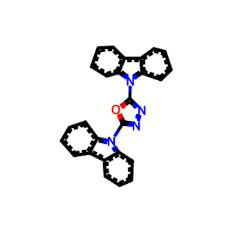 c1ccc2c(c1)c1ccccc1n2-c1nnc(-n2c3ccccc3c3ccccc32)o1